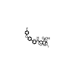 CC(C)(C)N(C(=O)O)C(CC(=O)Nc1cccc(-c2ccc(Oc3ccc(F)cc3)cc2)n1)C(N)=O